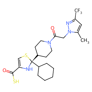 Cc1cc(C(F)(F)F)nn1CC(=O)N1CCC([C@@]2(C3CCCCC3)NC(C(=O)S)=CS2)CC1